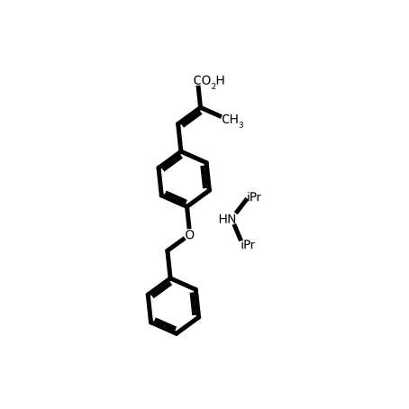 CC(=Cc1ccc(OCc2ccccc2)cc1)C(=O)O.CC(C)NC(C)C